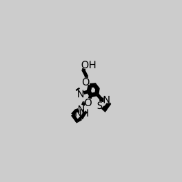 C=Nc1c(OCCO)ccc(-c2nccs2)c1OCN1CC2CC(C1)N2